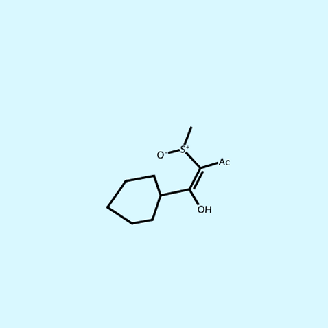 CC(=O)/C(=C(\O)C1CCCCC1)[S+](C)[O-]